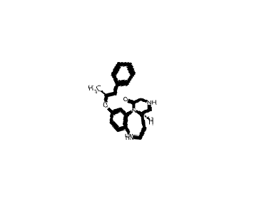 C[C@@H](Cc1ccccc1)Oc1ccc2c(c1)N1C(=O)CNC[C@H]1CCN2